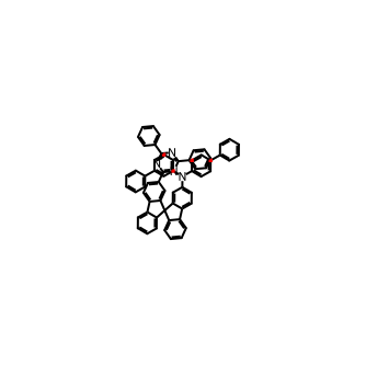 c1ccc(-c2ccc(N(c3cccc(-c4ccccc4)c3)c3ccc4c(c3)C3(c5ccccc5-c5ccc(-c6nc(-c7ccccc7)nc(-c7ccccc7)n6)cc53)c3ccccc3-4)cc2)cc1